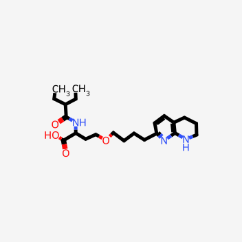 CCC(CC)C(=O)NC(CCOCCCCc1ccc2c(n1)NCCC2)C(=O)O